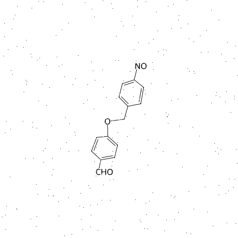 O=Cc1ccc(OCc2ccc(N=O)cc2)cc1